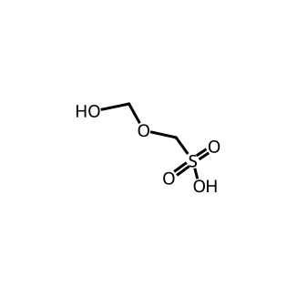 O=S(=O)(O)COCO